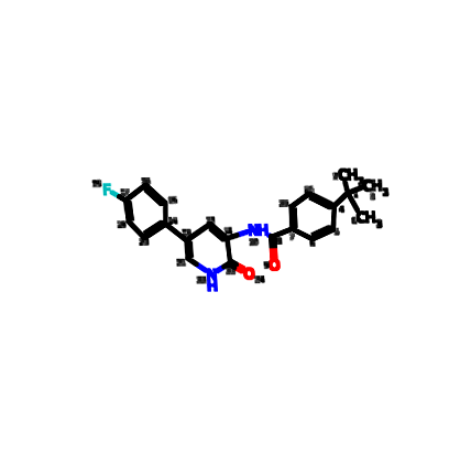 CC(C)(C)c1ccc(C(=O)Nc2cc(-c3ccc(F)cc3)c[nH]c2=O)cc1